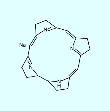 C1=C2CCC(=N2)C=C2CCC(N2)C2CCC(=N2)C=C2CCC1=N2.[Na]